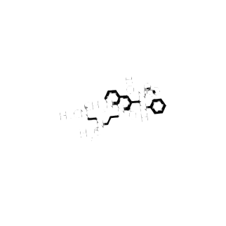 CN(C)CCN(C)CCCn1c(=O)c(C2=NS(=O)(=O)c3ccccc3N2)c(O)c2cccnc21